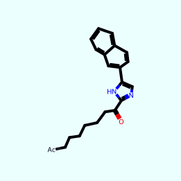 CC(=O)CCCCCCC(=O)c1ncc(-c2ccc3ccccc3c2)[nH]1